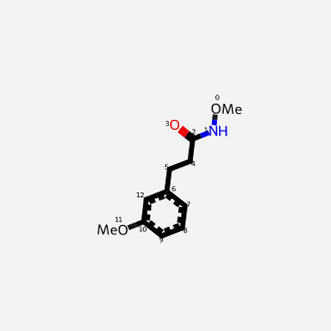 CONC(=O)CCc1cccc(OC)c1